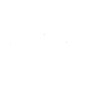 Cc1ccc2c(c1)cc(C(=O)Nc1ccc3c(ccn3C)c1)n2Cc1cccc(C(F)(F)F)c1